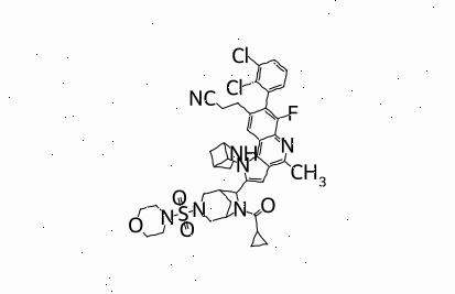 Cc1nc2c(F)c(-c3cccc(Cl)c3Cl)c(CCC#N)cc2c2c1cc(C1C3CC(CN(S(=O)(=O)N4CCOCC4)C3)N1C(=O)C1CC1)n2C1C2CNC1C2